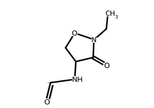 CCN1OCC(N[C]=O)C1=O